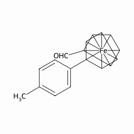 Cc1ccc([C]23[CH]4[CH]5[CH]6[CH]2[Fe]56432789[CH]3[CH]2[CH]7[C]8(C=O)[CH]39)cc1